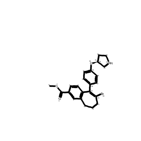 COC(=O)c1ccc2c(c1)CCCC(Br)=C2c1ccc(O[C@H]2CCNC2)cc1